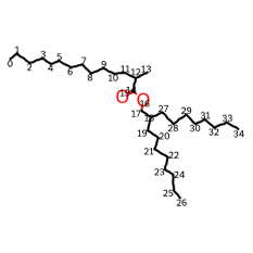 CCCCCCCCCCCCC(C)C(=O)OCC(CCCCCCCC)CCCCCCCC